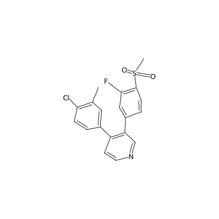 Cc1cc(-c2ccncc2-c2ccc(S(C)(=O)=O)c(F)c2)ccc1Cl